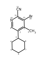 Cc1c(C2CCCCC2)cnc(C#N)c1Br